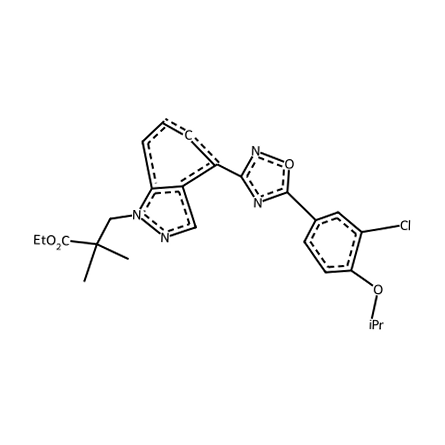 CCOC(=O)C(C)(C)Cn1ncc2c(-c3noc(-c4ccc(OC(C)C)c(Cl)c4)n3)cccc21